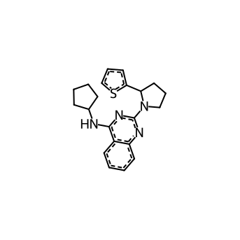 c1csc(C2CCCN2c2nc(NC3CCCC3)c3ccccc3n2)c1